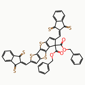 O=C(OCc1ccccc1)C1(C(=O)OCc2ccccc2)C(C=C2C(=S)c3ccccc3C2=S)=Cc2sc3c(sc4cc(C=C5C(=S)c6ccccc6C5=S)sc43)c21